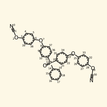 N#COc1ccc(Oc2ccc(P(=O)(c3ccccc3)c3ccc(Oc4ccc(OC#N)cc4)cc3)cc2)cc1